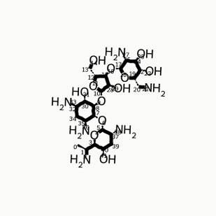 C[C@H](N)[C@H]1O[C@H](O[C@H]2[C@H](O[C@@H]3O[C@H](CO)[C@@H](O[C@H]4O[C@@H](CN)[C@@H](O)[C@H](O)[C@H]4N)[C@H]3O)[C@@H](O)[C@H](N)C[C@@H]2N)[C@H](N)C[C@@H]1O